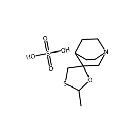 CC1OC2(CS1)CN1CCC2CC1.O=S(=O)(O)O